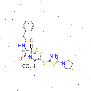 O=C(Cc1ccccc1)N[C@@H]1C(=O)N2C(C(=O)O)=C(Sc3nnc(N4CCCC4)s3)CS[C@@H]12